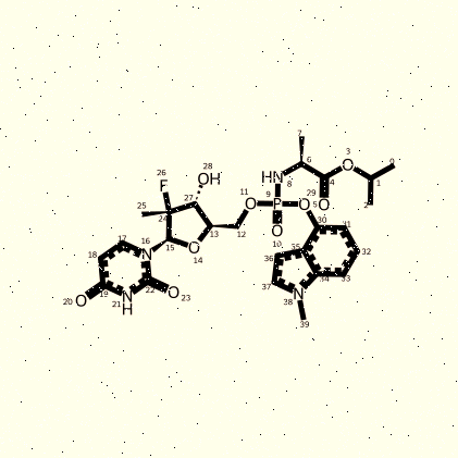 CC(C)OC(=O)[C@H](C)NP(=O)(OC[C@H]1O[C@@H](n2ccc(=O)[nH]c2=O)[C@](C)(F)[C@@H]1O)Oc1cccc2c1ccn2C